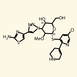 COC1C(n2cc(-c3csc(N)n3)nn2)[C@@H](O)C(CO)O[C@@H]1Sc1cc(Cl)cnc1C1=CCNCC1